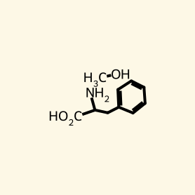 CO.NC(Cc1ccccc1)C(=O)O